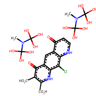 CN(C(O)(O)O)C(O)(O)O.CN(C(O)(O)O)C(O)(O)O.O=C(O)c1[nH]c2c(Cl)c3[nH]ccc(=O)c3cc2c(=O)c1C(=O)O